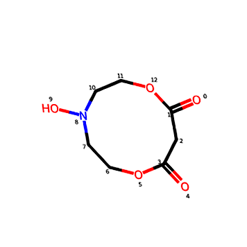 O=C1CC(=O)OCCN(O)CCO1